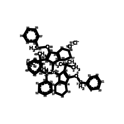 CC(C)(C)C1=C(O[SiH2]c2ccccc2)C2=C(CCCC2)[CH]1[Zr+2]([CH]1C2=C(CCCC2)C(O[SiH2]c2ccccc2)=C1C(C)(C)C)[SiH](c1ccccc1)c1ccccc1.[Cl-].[Cl-]